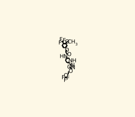 COc1cc(OCC(=O)N[C@H]2CC[C@H](c3nnc(OCCOC(F)(F)F)o3)NC2)ccc1C(F)(F)F